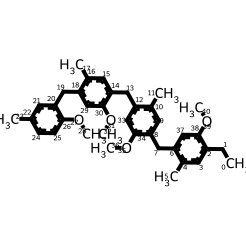 CCc1cc(C)c(Cc2cc(C)c(Cc3cc(C)c(Cc4cc(C)ccc4OC)cc3OC)cc2OC)cc1OC